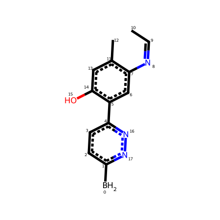 Bc1ccc(-c2cc(/N=C\C)c(C)cc2O)nn1